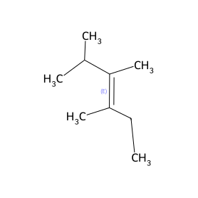 CC/C(C)=C(\C)C(C)C